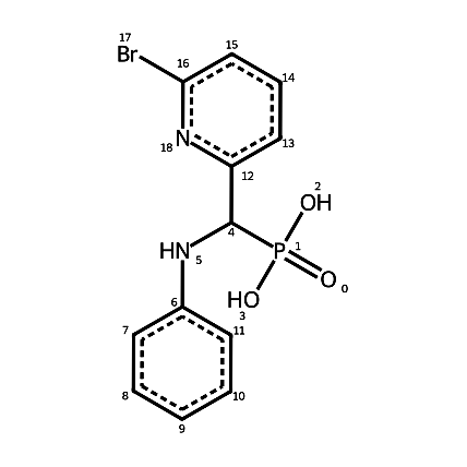 O=P(O)(O)C(Nc1ccccc1)c1cccc(Br)n1